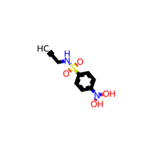 C#CCNS(=O)(=O)c1ccc(N(O)O)cc1